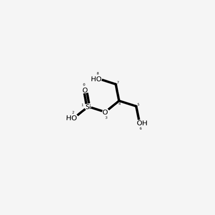 O=[Si](O)OC(CO)CO